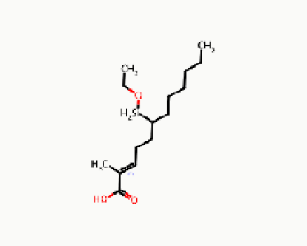 CCCCCCC(CC/C=C(\C)C(=O)O)[SiH2]OCC